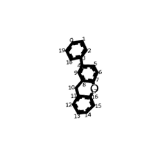 c1ccc(-c2ccc3c(c2)Cc2ccccc2O3)cc1